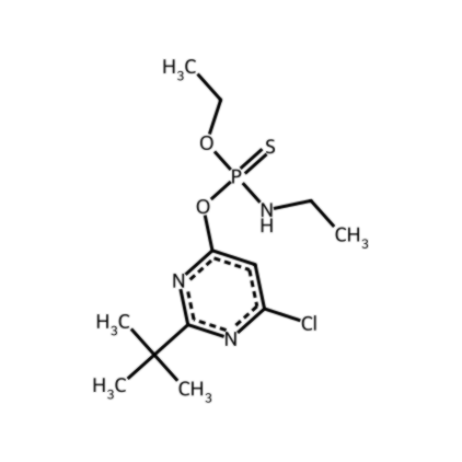 CCNP(=S)(OCC)Oc1cc(Cl)nc(C(C)(C)C)n1